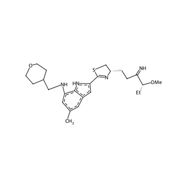 CC[C@@H](OC)C(=N)CC[C@H]1CSC(c2cc3cc(C)cc(NCC4CCOCC4)c3[nH]2)=N1